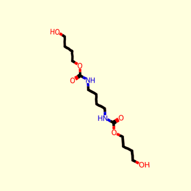 O=C(NCCCCNC(=O)OCCCCO)OCCCCO